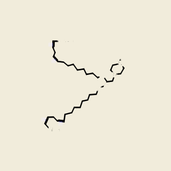 CCCCC/C=C\C/C=C\CCCCCCCCOC[C@H](CN1CCN(C)CC1)OCCCCCCCC/C=C\C/C=C\CCCCC